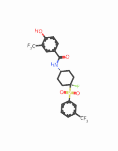 O=C(N[C@H]1CC[C@@](F)(S(=O)(=O)c2cccc(C(F)(F)F)c2)CC1)c1ccc(O)c(C(F)(F)F)c1